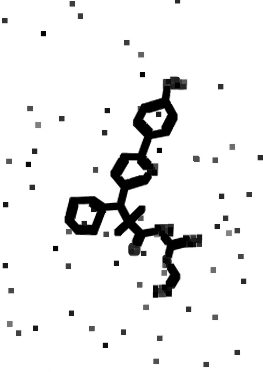 CCCCc1ccc(-c2ccc(C(c3ccccc3)C(C)(C)C(=O)NC(=N)SC=N)cn2)cc1